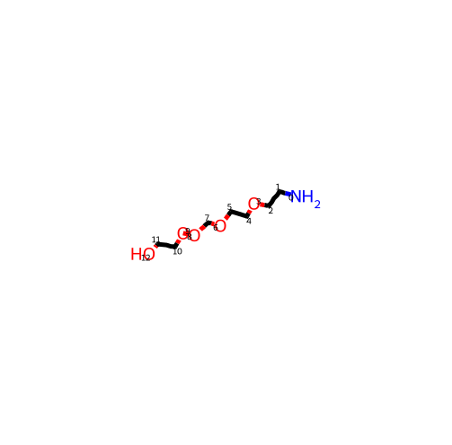 NCCOCCOCOOCCO